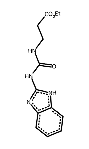 CCOC(=O)CCNC(=O)Nc1nc2ccccc2[nH]1